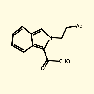 CC(=O)CCn1cc2ccccc2c1C(=O)C=O